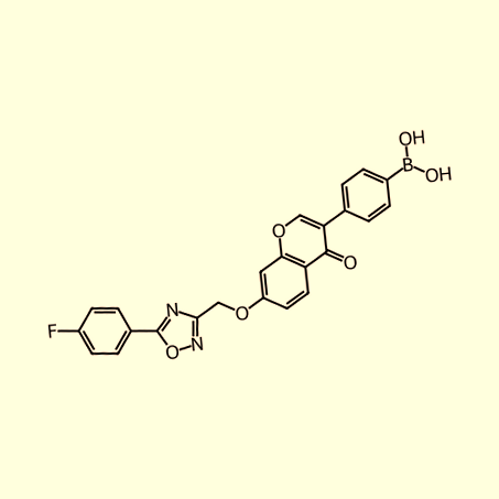 O=c1c(-c2ccc(B(O)O)cc2)coc2cc(OCc3noc(-c4ccc(F)cc4)n3)ccc12